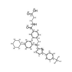 CC(C)(C)c1ccc(-c2csc(N(Cc3ccc(C(=O)NCCC(=O)O)cc3)c3ccc(C4CCCCC4)cc3)n2)cc1